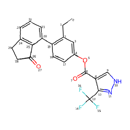 CCc1cc(OC(=O)c2c[nH]nc2C(F)(F)F)ccc1-c1cccc2c1C(=O)CC2